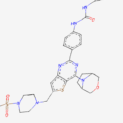 CS(=O)(=O)N1CCN(Cc2cc3nc(-c4ccc(NC(=O)NC5CC5)cc4)nc(N4C5CCC4COC5)c3s2)CC1